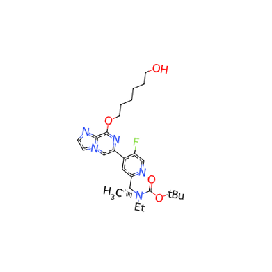 CCN(C(=O)OC(C)(C)C)[C@H](C)c1cc(-c2cn3ccnc3c(OCCCCCCO)n2)c(F)cn1